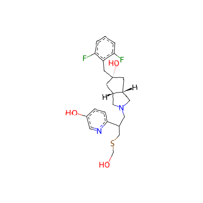 OCSCC(CN1C[C@@H]2C[C@@](O)(Cc3c(F)cccc3F)C[C@@H]2C1)c1ccc(O)cn1